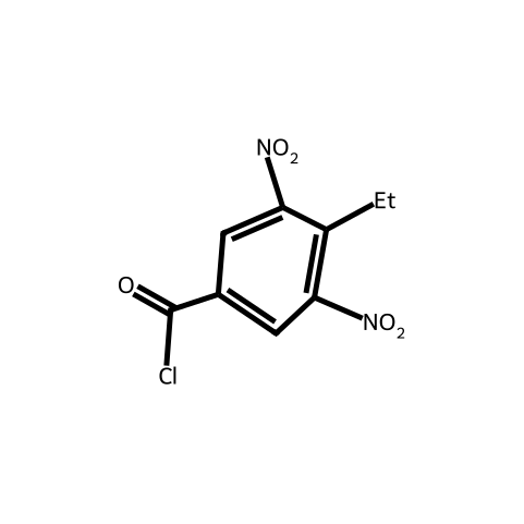 CCc1c([N+](=O)[O-])cc(C(=O)Cl)cc1[N+](=O)[O-]